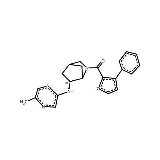 Cc1cnc(N[C@H]2CC3CC2N(C(=O)c2occc2-c2ccccc2)C3)cn1